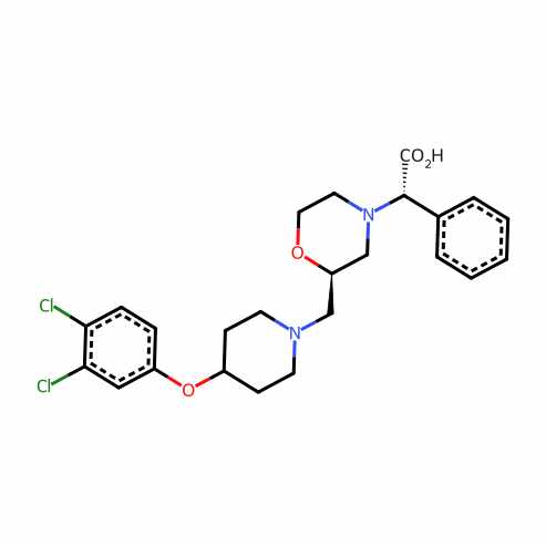 O=C(O)[C@H](c1ccccc1)N1CCO[C@H](CN2CCC(Oc3ccc(Cl)c(Cl)c3)CC2)C1